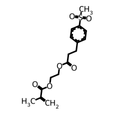 C=C(C)C(=O)OCCOC(=O)CCc1ccc(S(C)(=O)=O)cc1